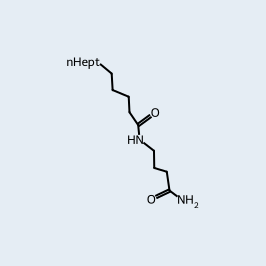 CCCCCCCCCCCC(=O)NCCCC(N)=O